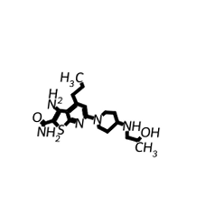 CCCc1cc(N2CCC(NCC(C)O)CC2)nc2sc(C(N)=O)c(N)c12